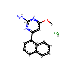 COc1cc(-c2cccc3ccccc23)nc(N)n1.Cl